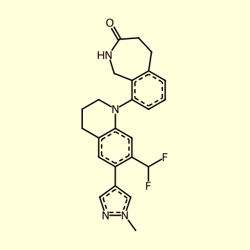 Cn1cc(-c2cc3c(cc2C(F)F)N(c2cccc4c2CNC(=O)CC4)CCC3)cn1